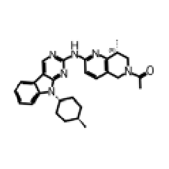 CC(=O)N1Cc2ccc(Nc3ncc4c5ccccc5n([C@H]5CC[C@H](C)CC5)c4n3)nc2[C@H](C)C1